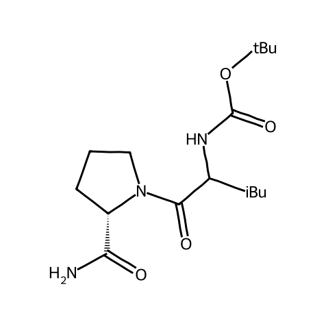 CCC(C)C(NC(=O)OC(C)(C)C)C(=O)N1CCC[C@H]1C(N)=O